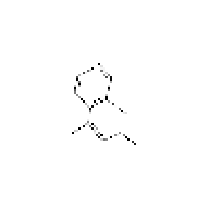 CC/C=C(/C)c1ccncc1C